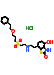 Cl.O=c1[nH]c2c(O)ccc(CCNCCS(=O)(=O)CCCOCCc3ccccc3)c2s1